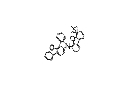 C[Si](C)(C)c1cccc2c1oc1c(-n3c4ccccc4c4c5oc6ccccc6c5ccc43)cccc12